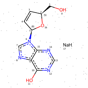 OC[C@@H]1C=C[C@H](n2cnc3c(O)ncnc32)O1.[NaH]